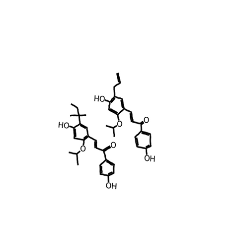 C=CCc1cc(C=CC(=O)c2ccc(O)cc2)c(OC(C)C)cc1O.CCC(C)(C)c1cc(C=CC(=O)c2ccc(O)cc2)c(OC(C)C)cc1O